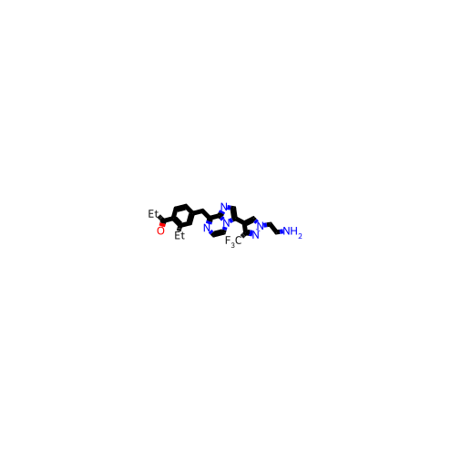 CCC(=O)c1ccc(Cc2nccn3c(-c4cn(CCN)nc4C(F)(F)F)cnc23)cc1CC